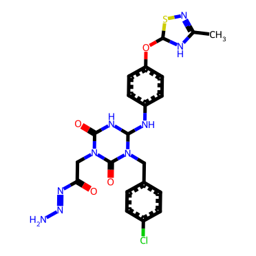 CC1=NSC(Oc2ccc(NC3NC(=O)N(CC(=O)N=NN)C(=O)N3Cc3ccc(Cl)cc3)cc2)N1